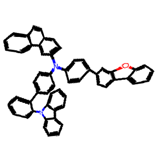 c1ccc(-n2c3ccccc3c3ccccc32)c(-c2ccc(N(c3ccc(-c4ccc5c(c4)oc4ccccc45)cc3)c3ccc4ccc5ccccc5c4c3)cc2)c1